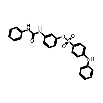 O=C(Nc1ccccc1)Nc1cccc(OS(=O)(=O)c2ccc(Nc3ccccc3)cc2)c1